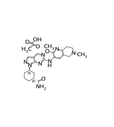 COc1nc2c(cc1Nc1ncc3cnn([C@@H]4CCC[C@@H](C(N)=O)C4)c3n1)CN(C)CC2.CS(=O)(=O)O